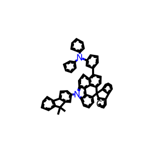 CC1(C)c2ccccc2-c2ccc(-n3c4cccc5c4c4c6c(ccc(-c7cccc(N(c8ccccc8)c8ccccc8)c7)c6ccc43)C53c4ccccc4-c4ccccc43)cc21